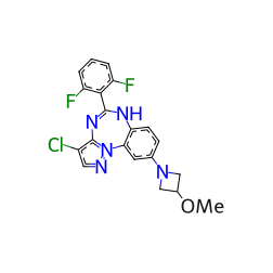 COC1CN(c2ccc3c(c2)-n2ncc(Cl)c2N=C(c2c(F)cccc2F)N3)C1